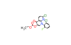 CCOC(=O)Oc1cn(-c2c(F)cccc2Cl)c2nc(Cl)ccc2c1=O